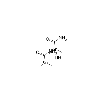 [CH3][Sn]([CH3])[C](N)=O.[CH3][Sn]([CH3])[C](N)=O.[LiH]